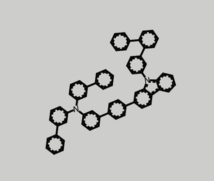 c1ccc(-c2cccc(N(c3cccc(-c4ccccc4)c3)c3cccc(-c4ccc(-c5ccc6c7ccccc7n(-c7cccc(-c8ccccc8-c8ccccc8)c7)c6c5)cc4)c3)c2)cc1